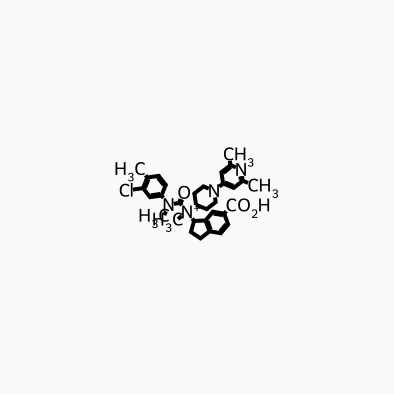 Cc1cc(N2CCC([N+](C)(C(=O)N(C)c3ccc(C)c(Cl)c3)C3CCc4ccc(C(=O)O)cc43)CC2)cc(C)n1